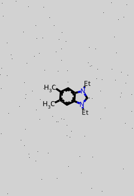 CCN1[CH]N(CC)c2cc(C)c(C)cc21